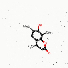 COc1cc2c(C(F)(F)F)cc(=O)oc2c(C=O)c1O